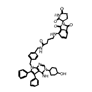 N=c1c2c(-c3ccccc3)c(-c3ccccc3)n(Cc3ccc(CNC(=O)CCCNc4cccc5c4C(=O)N(C4CCC(=O)NC4=O)C5=O)cc3)c2ncn1C1CCC(O)CC1